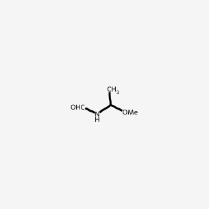 COC(C)NC=O